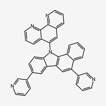 c1cncc(-c2ccc3c(c2)c2cc(-c4cccnc4)c4ccccc4c2n3-c2cc3cccnc3c3ncccc23)c1